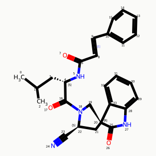 CC(C)C[C@H](NC(=O)/C=C/c1ccccc1)C(=O)N1C[C@]2(C[C@H]1C#N)C(=O)Nc1ccccc12